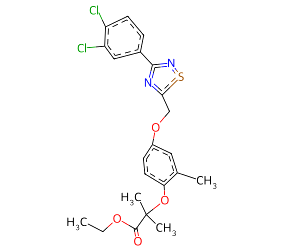 CCOC(=O)C(C)(C)Oc1ccc(OCc2nc(-c3ccc(Cl)c(Cl)c3)ns2)cc1C